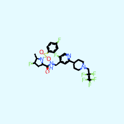 CC1C(F)CC(C(=O)NCc2cc(C3CCN(CC(F)(F)C(F)(F)F)CC3)ncc2F)N1S(=O)(=O)c1ccc(F)cc1